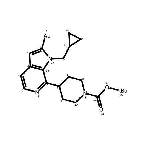 CC(=O)c1cc2ccnc(C3CCN(C(=O)OC(C)(C)C)CC3)c2n1CC1CC1